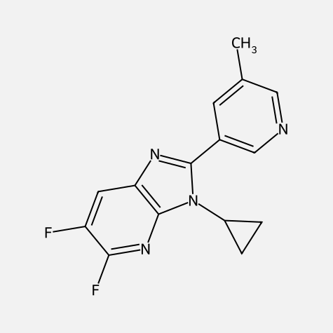 Cc1cncc(-c2nc3cc(F)c(F)nc3n2C2CC2)c1